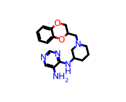 Nc1cncnc1NC1CCCN(CC2COc3ccccc3O2)C1